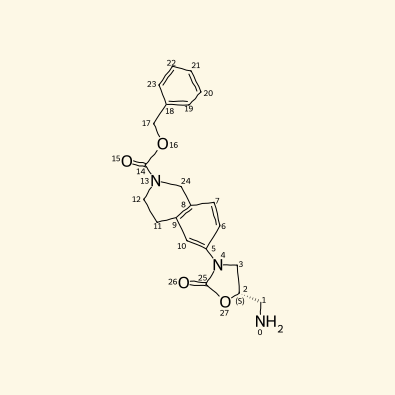 NC[C@H]1CN(c2ccc3c(c2)CCN(C(=O)OCc2ccccc2)C3)C(=O)O1